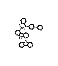 c1ccc(-c2ccc(-c3nc(-c4cccc5oc6c(-n7c8ccccc8c8ccccc87)cccc6c45)nc4ccccc34)cc2)cc1